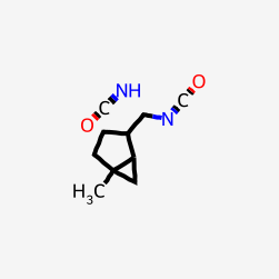 CC12CCC(CN=C=O)C1C2.N=C=O